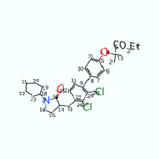 CCOC(=O)C(C)(C)Oc1ccc(-c2ccc(CC3CCN(C4CCCCC4)C3=O)c(Cl)c2Cl)cc1